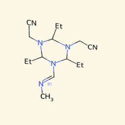 CCC1N(/C=N/C)C(CC)N(CC#N)C(CC)N1CC#N